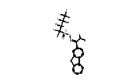 O=S(=O)(ON=C(c1ccc2c(c1)Cc1ccccc1-2)C(F)F)C(F)(F)C(F)(F)C(F)(F)C(F)(F)F